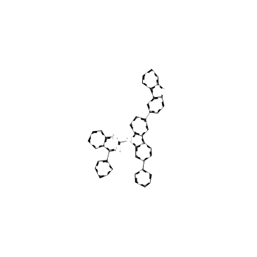 c1ccc(-c2ccc3c4cc(-c5ccc6sc7ccccc7c6c5)ccc4n(-c4nc(-c5ccccc5)c5ccccc5n4)c3c2)cc1